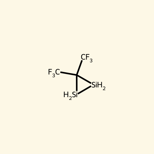 FC(F)(F)C1(C(F)(F)F)[SiH2][SiH2]1